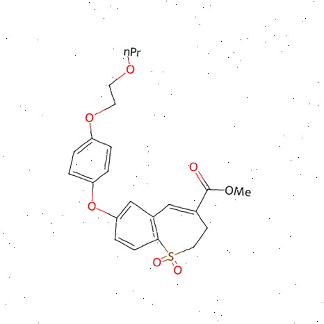 CCCOCCOc1ccc(Oc2ccc3c(c2)C=C(C(=O)OC)CCS3(=O)=O)cc1